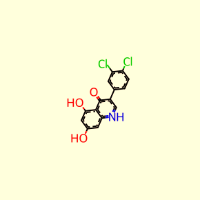 O=c1c(-c2ccc(Cl)c(Cl)c2)c[nH]c2cc(O)cc(O)c12